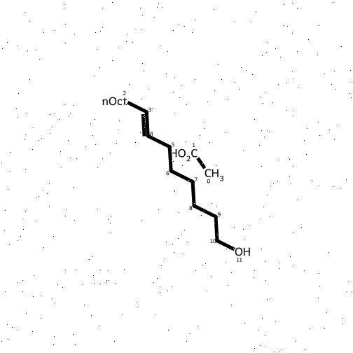 CC(=O)O.CCCCCCCCC=CCCCCCCO